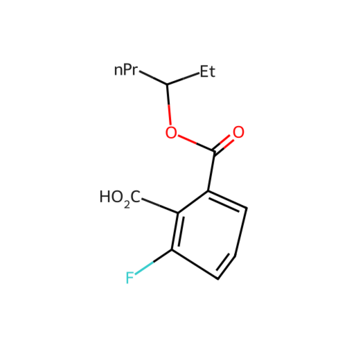 CCCC(CC)OC(=O)c1cccc(F)c1C(=O)O